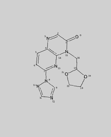 O=c1cnc2ccc(-n3cncn3)nc2n1CC1OCCO1